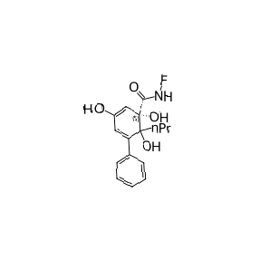 CCCC1(O)C(c2ccccc2)=CC(O)=C[C@@]1(O)C(=O)NF